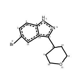 Brc1ccc2[nH]nc(C3CCOCC3)c2c1